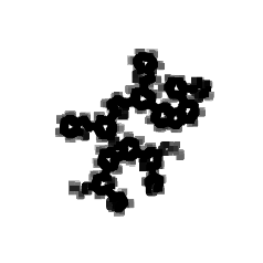 Cc1cc(-c2ccoc2)nc(-c2ccc3c(c2)c2cc(-c4cc(C)cc(-c5ccco5)n4)ccc2n3-c2cc(-c3ccc(-c4cc(-c5ccc6c(c5)-c5c(cccc5-c5ccccc5-c5nncs5)C6)cc(-c5cc6ccccc6s5)c4)s3)cc(-c3cc4ccccc4s3)c2)c1